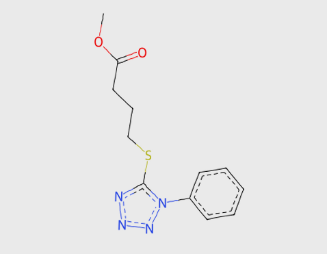 COC(=O)CCCSc1nnnn1-c1ccccc1